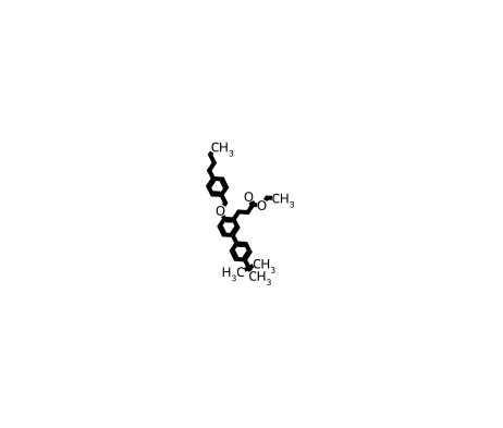 CCCCc1ccc(COc2ccc(-c3ccc(C(C)(C)C)cc3)cc2CCC(=O)OCC)cc1